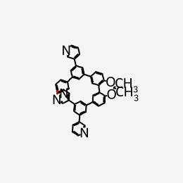 CC1(C)Oc2ccc(-c3cc(-c4cccnc4)cc(-c4cccnc4)c3)cc2-c2cc(-c3cc(-c4cccnc4)cc(-c4cccnc4)c3)ccc2O1